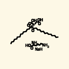 CCCCCCCCCCCCCC(=O)N(C(=O)CCCCCCCCCCCCC)[C@@H](CCC(=O)O)C(=O)O.NCCCC[C@H](N)C(=O)O.[NaH]